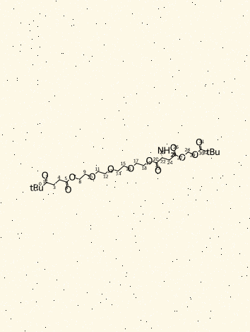 CC(C)(C)C(=O)CCC(=O)OCCOCCOCCOCCOC(=O)[C@H](N)CC(=O)OCOC(=O)C(C)(C)C